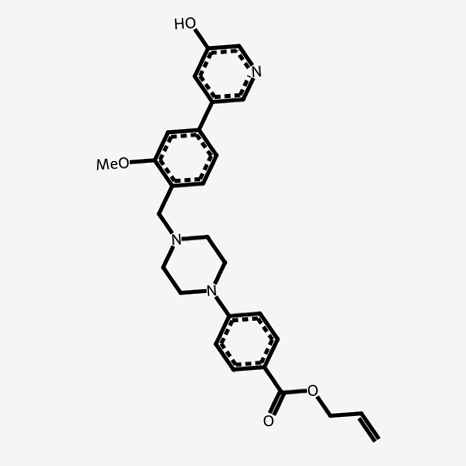 C=CCOC(=O)c1ccc(N2CCN(Cc3ccc(-c4cncc(O)c4)cc3OC)CC2)cc1